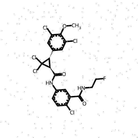 COc1c(Cl)cc([C@@H]2[C@@H](C(=O)Nc3ccc(Cl)c(C(=O)NCCF)c3)C2(Cl)Cl)cc1Cl